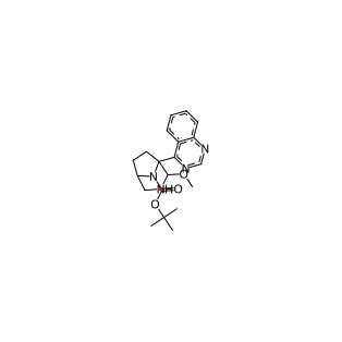 COC1NCC2CCC1(c1ncnc3ccccc13)N2C(=O)OC(C)(C)C